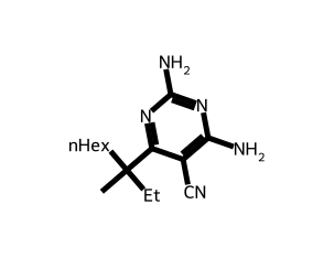 CCCCCCC(C)(CC)c1nc(N)nc(N)c1C#N